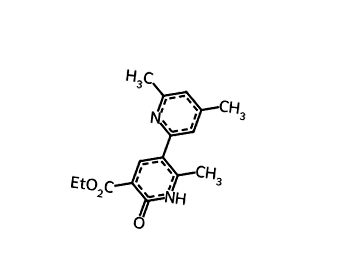 CCOC(=O)c1cc(-c2cc(C)cc(C)n2)c(C)[nH]c1=O